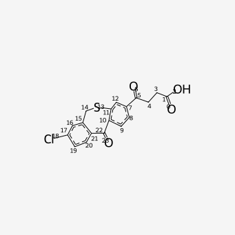 O=C(O)CCC(=O)c1ccc2c(c1)SCc1cc(Cl)ccc1C2=O